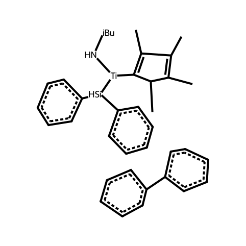 CCC(C)[NH][Ti]([C]1=C(C)C(C)=C(C)C1C)[SiH](c1ccccc1)c1ccccc1.c1ccc(-c2ccccc2)cc1